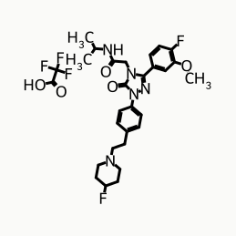 COc1cc(-c2nn(-c3ccc(CCN4CCC(F)CC4)cc3)c(=O)n2CC(=O)NC(C)C)ccc1F.O=C(O)C(F)(F)F